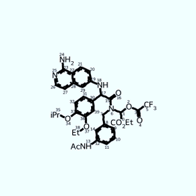 CCOC(=O)C(OC(=O)C(F)(F)F)N(Cc1cccc(NC(C)=O)c1)C(=O)C(Nc1ccc2c(N)nccc2c1)c1ccc(OC(C)C)c(OCC)c1